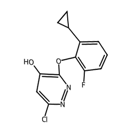 Oc1cc(Cl)nnc1Oc1c(F)cccc1C1CC1